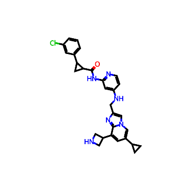 O=C(Nc1cc(NCc2cn3cc(C4CC4)cc(C4CNC4)c3n2)ccn1)C1CC1c1cccc(Cl)c1